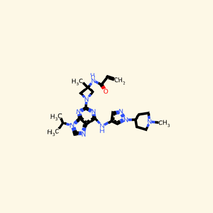 C=CC(=O)NC1(C)CN(c2nc(Nc3cnn(C4CCN(C)CC4)c3)c3ncn(C(C)C)c3n2)C1